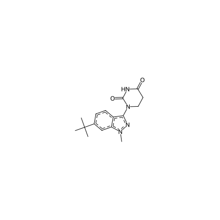 Cn1nc(N2CCC(=O)NC2=O)c2ccc(C(C)(C)C)cc21